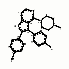 CN1CCN(c2ncnc3oc(-c4ccc(Br)cc4)c(-c4ccc(F)cc4)c23)CC1